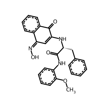 COc1ccccc1NC(=O)[C@@H](Cc1ccccc1)NC1=CC(=NO)c2ccccc2C1=O